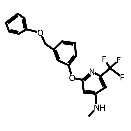 CNc1cc(Oc2cccc(COc3ccccc3)c2)nc(C(F)(F)F)c1